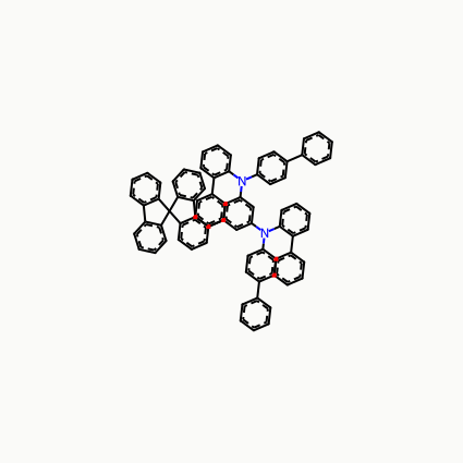 c1ccc(-c2ccc(N(c3cc(-c4cccc5c4-c4ccccc4C54c5ccccc5-c5ccccc54)cc(N(c4ccc(-c5ccccc5)cc4)c4ccccc4-c4ccccc4)c3)c3ccccc3-c3ccccc3)cc2)cc1